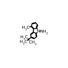 Cc1cccc2c1c1cc(C(C)(C)C)ccc1n2N